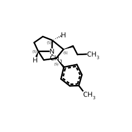 CCC[C@H]1[C@@H](c2ccc(C)cc2)C[C@@H]2CC[C@@H]1N2C